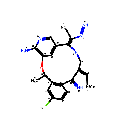 CN/C=C1/CN/C(=C(/C#N)N=N)c2cnc(N)c(c2)OC(C)c2cc(F)ccc2C1=N